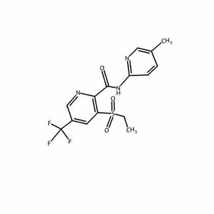 CCS(=O)(=O)c1cc(C(F)(F)F)cnc1C(=O)Nc1ccc(C)cn1